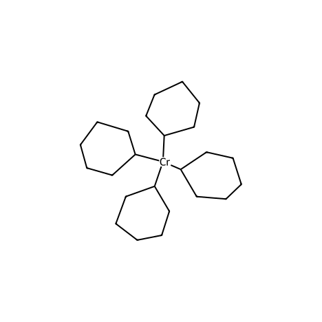 C1CC[CH]([Cr]([CH]2CCCCC2)([CH]2CCCCC2)[CH]2CCCCC2)CC1